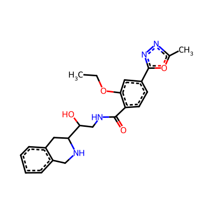 CCOc1cc(-c2nnc(C)o2)ccc1C(=O)NCC(O)C1Cc2ccccc2CN1